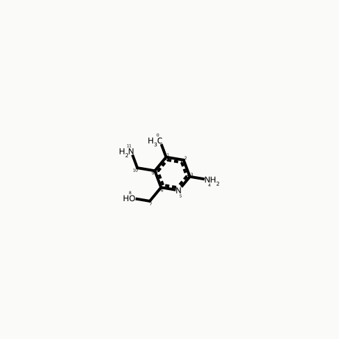 Cc1cc(N)nc(CO)c1CN